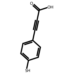 O=C(O)C#Cc1ccc(S)cc1